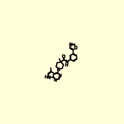 Cc1c[nH]c2ncnc(N3CCC(C)(C(=O)Nc4cccc(-c5cnco5)c4)CC3)c12